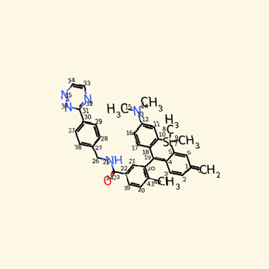 C=c1ccc2c(c1)[Si](C)(C)c1cc(N(C)C)ccc1C=2c1cc(C(=O)NCc2ccc(-c3nccnn3)cc2)ccc1C